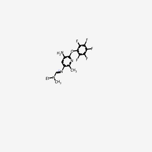 CCN(C)/C=N/c1cc(N)c(Oc2c(F)c(F)c(F)c(F)c2F)nc1C